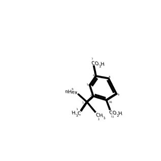 CCCCCCC(C)(C)c1cc(C(=O)O)ccc1C(=O)O